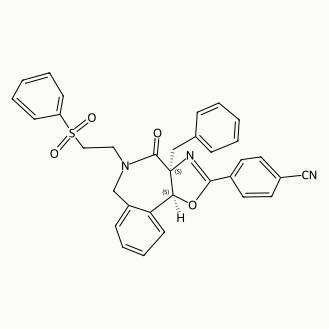 N#Cc1ccc(C2=N[C@]3(Cc4ccccc4)C(=O)N(CCS(=O)(=O)c4ccccc4)Cc4ccccc4[C@@H]3O2)cc1